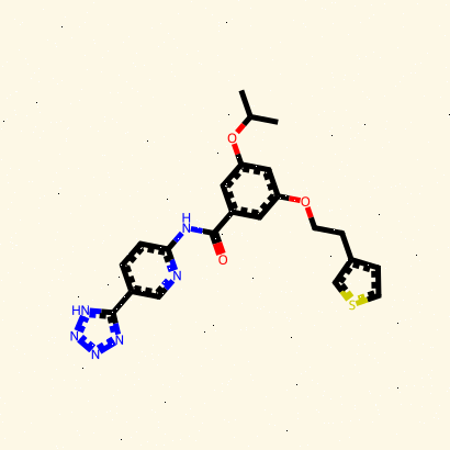 CC(C)Oc1cc(OCCc2ccsc2)cc(C(=O)Nc2ccc(-c3nnn[nH]3)cn2)c1